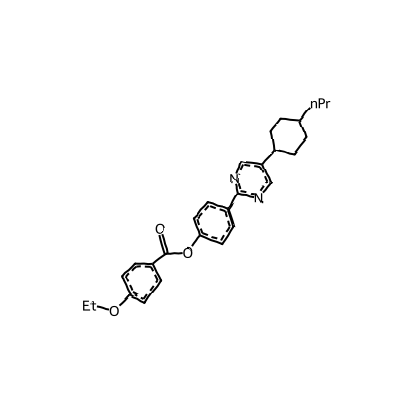 CCCC1CCC(c2cnc(-c3ccc(OC(=O)c4ccc(OCC)cc4)cc3)nc2)CC1